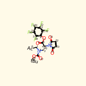 CC(=O)CN(C[C@H](C(=O)Oc1c(F)c(F)c(F)c(F)c1F)N1C(=O)C=CC1=O)C(=O)OC(C)(C)C